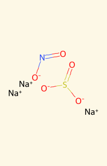 O=N[O-].O=S([O-])[O-].[Na+].[Na+].[Na+]